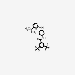 CN(C)c1ccnc(N[C@H]2CC[C@@H](NC(=O)c3cc(C(F)(F)F)cc(C(F)(F)F)c3)CC2)n1